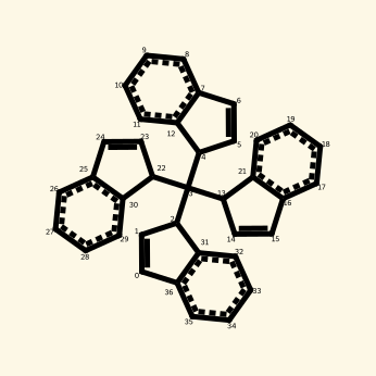 C1=CC(C(C2C=Cc3ccccc32)(C2C=Cc3ccccc32)C2C=Cc3ccccc32)c2ccccc21